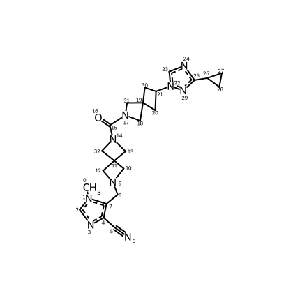 Cn1cnc(C#N)c1CN1CC2(C1)CN(C(=O)N1CC3(CC(n4cnc(C5CC5)n4)C3)C1)C2